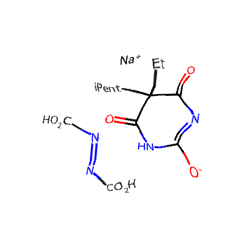 CCCC(C)C1(CC)C(=O)N=C([O-])NC1=O.O=C(O)/N=N/C(=O)O.[Na+]